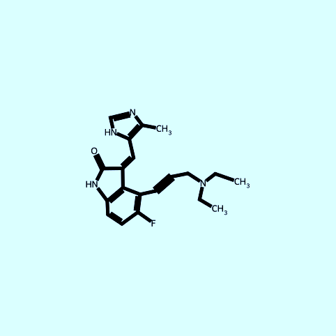 CCN(CC)CC#Cc1c(F)ccc2c1C(=Cc1[nH]cnc1C)C(=O)N2